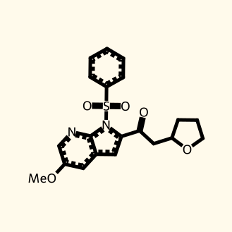 COc1cnc2c(c1)cc(C(=O)CC1CCCO1)n2S(=O)(=O)c1ccccc1